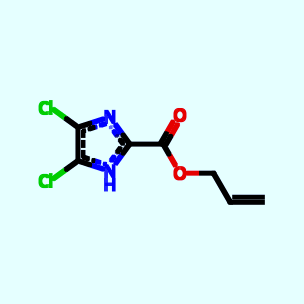 C=CCOC(=O)c1nc(Cl)c(Cl)[nH]1